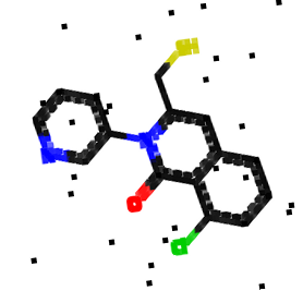 O=c1c2c(Cl)cccc2cc(CS)n1-c1cccnc1